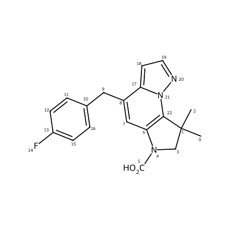 CC1(C)CN(C(=O)O)c2cc(Cc3ccc(F)cc3)c3ccnn3c21